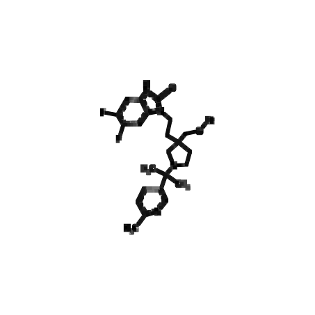 CCOCC1(CCn2c(=O)[nH]c3cc(F)c(F)cc32)CCN(C(C)(C)c2ccc(C)nc2)C1